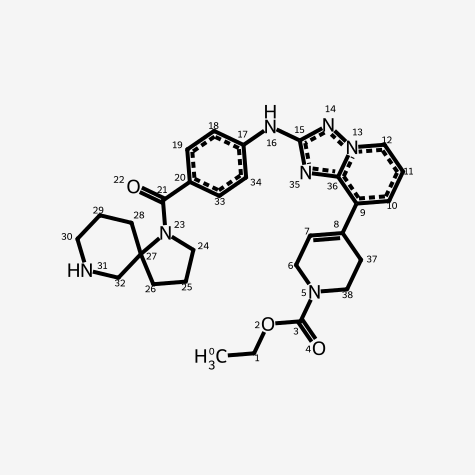 CCOC(=O)N1CC=C(c2cccn3nc(Nc4ccc(C(=O)N5CCCC56CCCNC6)cc4)nc23)CC1